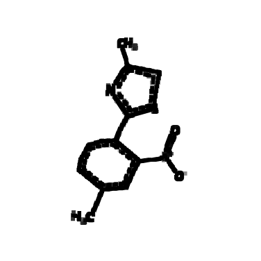 Cc1ccc(-c2nc(C)cs2)c([N+](=O)[O-])c1